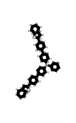 c1ccc(N(c2ccc(-c3ccc(-c4cc5ccccc5o4)cc3)cc2)c2ccc(-c3ccc(-c4cc5ccccc5o4)cc3)cc2)cc1